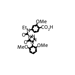 CCN(C(=O)n1nnn(-c2c(OC)cccc2OC)c1=O)c1ccc(C(=O)O)c(OC)c1